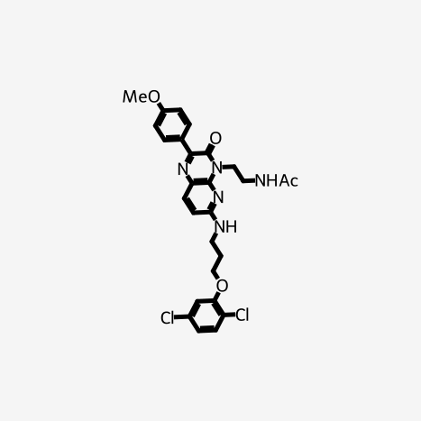 COc1ccc(-c2nc3ccc(NCCCOc4cc(Cl)ccc4Cl)nc3n(CCNC(C)=O)c2=O)cc1